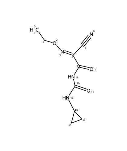 CCON=C(C#N)C(=O)NC(=O)NC1CC1